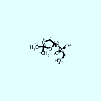 CCS(=O)(=O)NC1COC(C)(C)O1